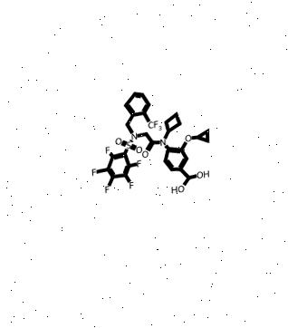 O=C(CN(Cc1ccccc1C(F)(F)F)S(=O)(=O)c1c(F)c(F)c(F)c(F)c1F)N(c1ccc(C(O)O)cc1OC1CC1)C1CCC1